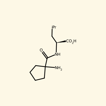 CC(C)C[C@H](NC(=O)C1(N)CCCC1)C(=O)O